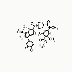 COC(=O)c1c(C)cc(N(C)C(=O)C2CCN(C(=O)c3ccc4c(-c5ccc(Cl)c(F)c5)cn(C(C)(C)C)c4n3)CC2)nc1C